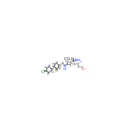 BCCCCC(N)(C(=O)O)[C@H]1C[C@@H](NCc2ccc(-c3ccc(Cl)cc3)c(F)c2)C1